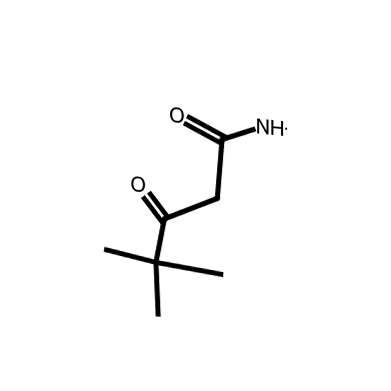 CC(C)(C)C(=O)CC([NH])=O